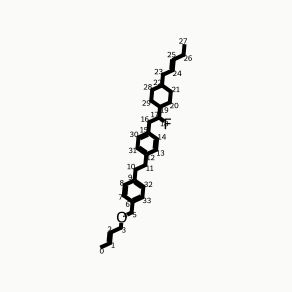 CC=CCOCc1ccc(CCc2ccc(CC(F)C3CCC(C/C=C/CC)CC3)cc2)cc1